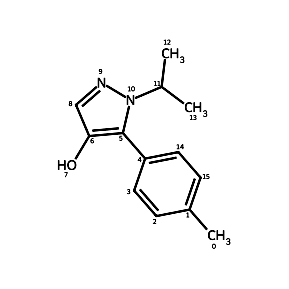 Cc1ccc(-c2c(O)cnn2C(C)C)cc1